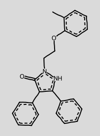 Cc1ccccc1OCCn1[nH]c(-c2ccccc2)c(-c2ccccc2)c1=O